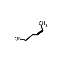 C/C=C\CCN=O